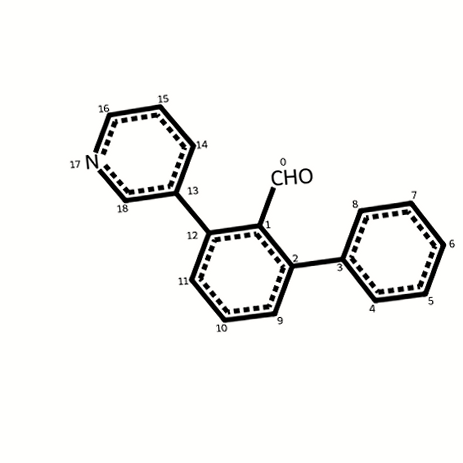 O=Cc1c(-c2ccccc2)cccc1-c1cccnc1